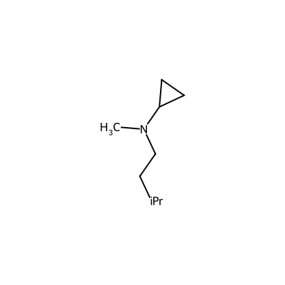 CC(C)CCN(C)C1CC1